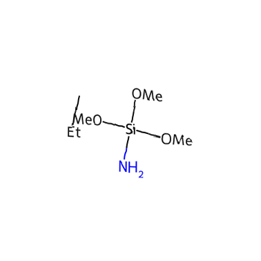 CCC.CO[Si](N)(OC)OC